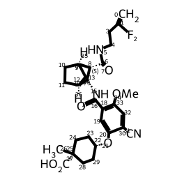 C=C(F)CCNC(=O)[C@H]1[C@@H]2CC[C@@H](C2)[C@H]1NC(=O)c1cc(O[C@H]2CC[C@@](C)(C(=O)O)CC2)c(C#N)cc1OC